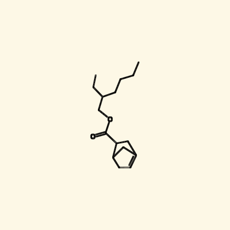 CCCCC(CC)COC(=O)C1CC2=CCC1C2